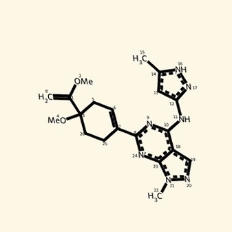 C=C(OC)C1(OC)CC=C(c2nc(Nc3cc(C)[nH]n3)c3cnn(C)c3n2)CC1